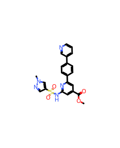 COC(=O)c1cc(NS(=O)(=O)c2cnn(C)c2)nc(-c2ccc(-c3cccnc3)cc2)c1